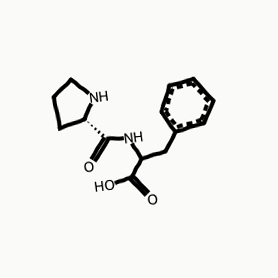 O=C(O)C(Cc1ccccc1)NC(=O)[C@@H]1CCCN1